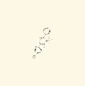 CC(C)(C)N(NC(=O)c1ccc(Cl)cc1)C(=O)C1C=CC=CC1